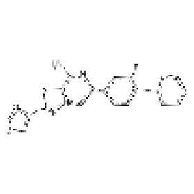 Nc1nc(-c2ccc(-c3ccccc3)c(F)c2)cn2nc(-c3ccco3)nc12